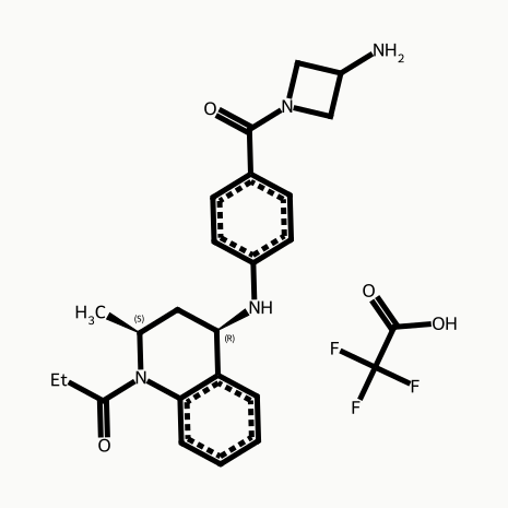 CCC(=O)N1c2ccccc2[C@H](Nc2ccc(C(=O)N3CC(N)C3)cc2)C[C@@H]1C.O=C(O)C(F)(F)F